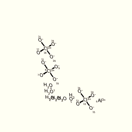 O.O.O.O.O.O.[Al+3].[O-][Cl+3]([O-])([O-])[O-].[O-][Cl+3]([O-])([O-])[O-].[O-][Cl+3]([O-])([O-])[O-]